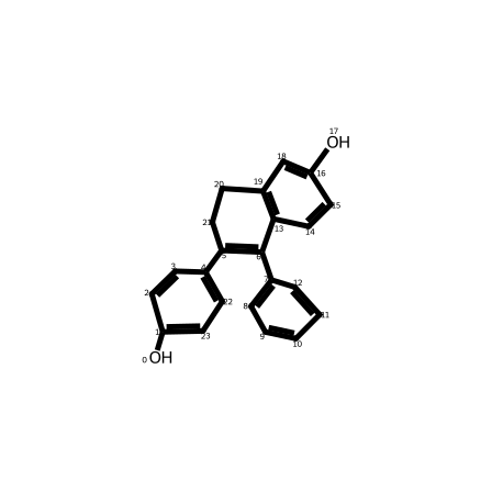 Oc1ccc(C2=C(c3ccccc3)c3ccc(O)cc3CC2)cc1